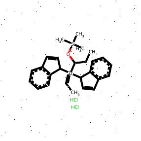 C[CH]=[Zr]([CH](CC)O[Si](C)(C)C)([CH]1C=Cc2ccccc21)[CH]1C=Cc2ccccc21.Cl.Cl